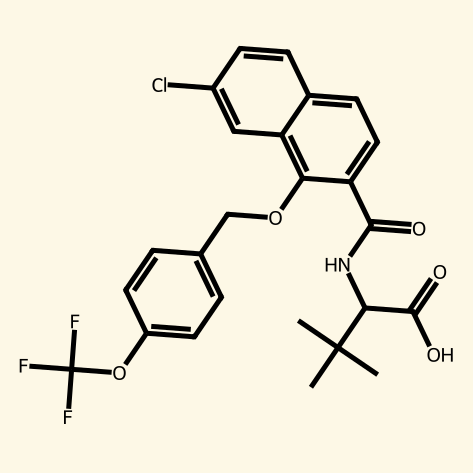 CC(C)(C)C(NC(=O)c1ccc2ccc(Cl)cc2c1OCc1ccc(OC(F)(F)F)cc1)C(=O)O